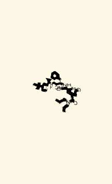 CCCN(CCC)C(=O)c1cc(C(=O)N[C@@H](Cc2ccccc2)[C@H](O)CNC2(c3cccc(C(C)(C)C)c3)CC2)[nH]c(=O)c1